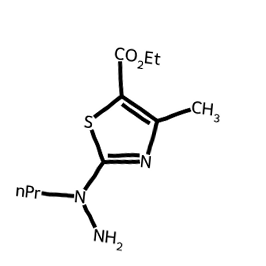 CCCN(N)c1nc(C)c(C(=O)OCC)s1